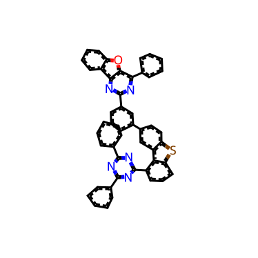 c1ccc(-c2nc(-c3ccccc3)nc(-c3cccc4sc5ccc(-c6cccc(-c7nc(-c8ccccc8)c8oc9ccccc9c8n7)c6)cc5c34)n2)cc1